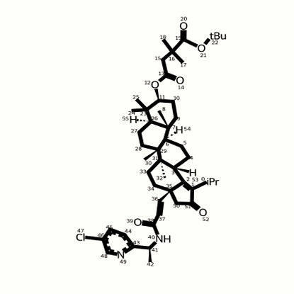 CC(C)C1=C2[C@H]3CC[C@@H]4[C@@]5(C)CC[C@H](OC(=O)CC(C)(C)C(=O)OC(C)(C)C)C(C)(C)[C@@H]5CC[C@@]4(C)[C@]3(C)CC[C@@]2(/C=C/C(=O)N[C@@H](C)c2ccc(Cl)cn2)CC1=O